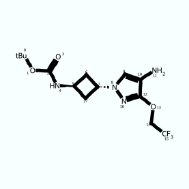 CC(C)(C)OC(=O)N[C@H]1C[C@H](n2cc(N)c(OCC(F)(F)F)n2)C1